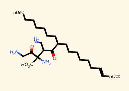 CCCCCCCCC=CCCCCCCC(CCCCCCCCCCCCCCCC)C(=O)C(CN)C(N)(C(=O)O)C(=O)CN